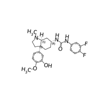 COc1ccc([C@@]23CC[C@@H](NC(=O)Nc4ccc(F)c(F)c4)C[C@@H]2N(C)CC3)cc1O